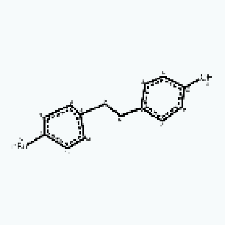 CCCCc1ccc(CCc2ccc(O)cc2)cc1